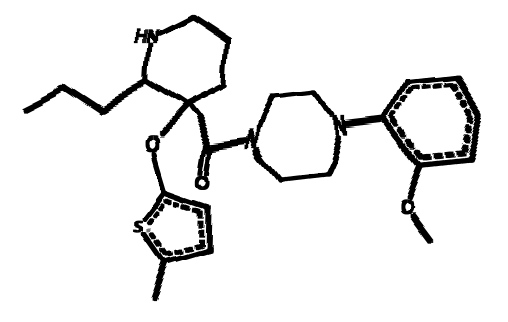 CCCC1NCCCC1(Oc1ccc(C)s1)C(=O)N1CCN(c2ccccc2OC)CC1